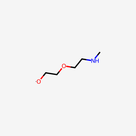 CNCCOCC[O]